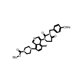 COc1ccc(CN2C(=O)CCN(c3cncc4c(N5CCN(C(=O)OC(C)(C)C)CC5)ccc(F)c34)C2=O)cc1